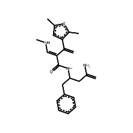 C=C(N)CC(Cc1ccccc1)NC(=O)/C(=C/NC)C(=C)c1cc(C)sc1C